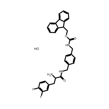 Cl.NC(Cc1ccc(F)c(F)c1)C(=O)NCc1ccc(CNC(=O)OCC2c3ccccc3-c3ccccc32)cc1